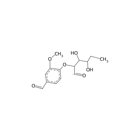 CCC(O)C(O)C([C]=O)Oc1ccc(C=O)cc1OC